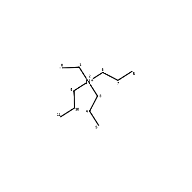 [CH2]C[N+](CCC)(CCC)CCC